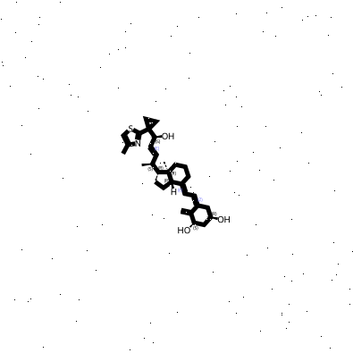 C=C1/C(=C\C=C2/CCC[C@]3(C)[C@@H]([C@@H](C)/C=C/[C@H](O)C4(c5nc(C)cs5)CC4)CC[C@@H]23)C[C@@H](O)C[C@@H]1O